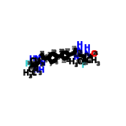 CNC(c1nc(-c2ccc(-c3ccc(-c4c[nH]c(C(NC=O)C(C)(C)F)n4)cc3)cc2)c[nH]1)C(C)(C)F